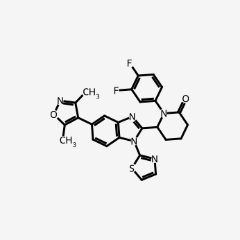 Cc1noc(C)c1-c1ccc2c(c1)nc(C1CCCC(=O)N1c1ccc(F)c(F)c1)n2-c1nccs1